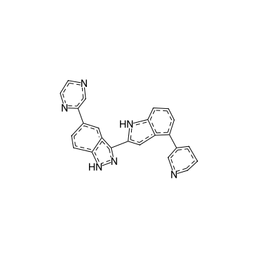 c1cncc(-c2cccc3[nH]c(-c4n[nH]c5ccc(-c6cnccn6)cc45)cc23)c1